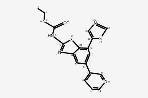 CCNC(=O)Nc1nc2cc(-c3cccnc3)cc(-c3cncs3)c2s1